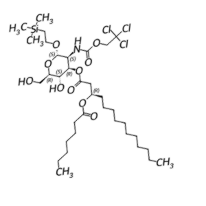 CCCCCCCCCCC[C@H](CC(=O)O[C@H]1[C@H](O)[C@@H](CO)O[C@H](OCC[Si](C)(C)C)[C@H]1NC(=O)OCC(Cl)(Cl)Cl)OC(=O)CCCCCC